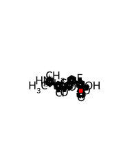 C[C@@H]1CN(c2cc(Cl)c(C(=O)N3COc4c(cccc4-c4cc(N5C6CCC5COC6)c(C(=O)O)cc4F)C3)c(Cl)c2)C[C@H](C)N1